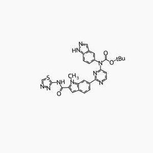 Cn1c(C(=O)Nc2nncs2)cc2ccc(-c3nccc(N(C(=O)OC(C)(C)C)c4ccc5[nH]ncc5c4)n3)cc21